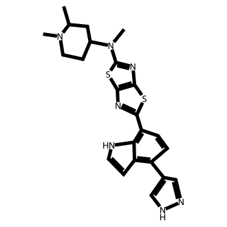 CC1CC(N(C)c2nc3sc(-c4ccc(-c5cn[nH]c5)c5cc[nH]c45)nc3s2)CCN1C